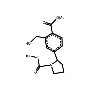 COC(=O)c1ccc(C2CCCN2C(=O)OC(C)(C)C)cc1CO